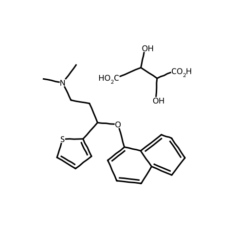 CN(C)CCC(Oc1cccc2ccccc12)c1cccs1.O=C(O)C(O)C(O)C(=O)O